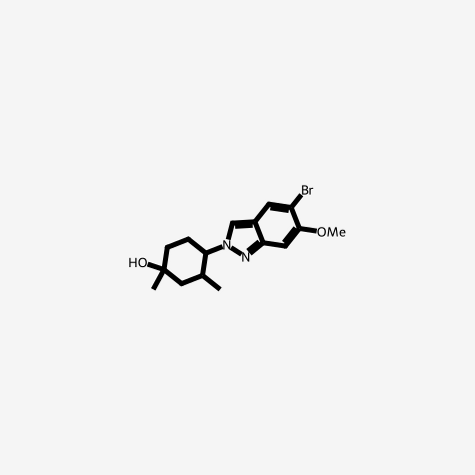 COc1cc2nn(C3CCC(C)(O)CC3C)cc2cc1Br